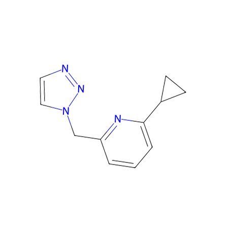 c1cc(Cn2ccnn2)nc(C2CC2)c1